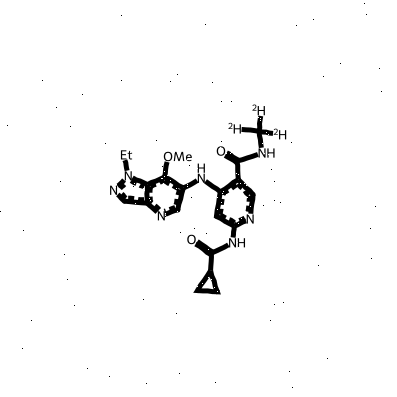 [2H]C([2H])([2H])NC(=O)c1cnc(NC(=O)C2CC2)cc1Nc1cnc2cnn(CC)c2c1OC